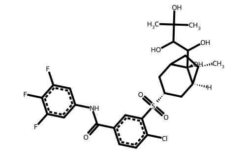 C[C@H]1CC2C[C@@H](S(=O)(=O)c3cc(C(=O)Nc4cc(F)c(F)c(F)c4)ccc3Cl)C[C@H]1[C@@]2(O)C(O)C(O)C(C)(C)O